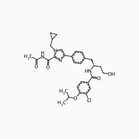 CC(=O)NC(=O)c1nc(-c2ccc(C[C@@H](CCO)NC(=O)c3ccc(OC(C)C)c(Cl)c3)cc2)cn1CC1CC1